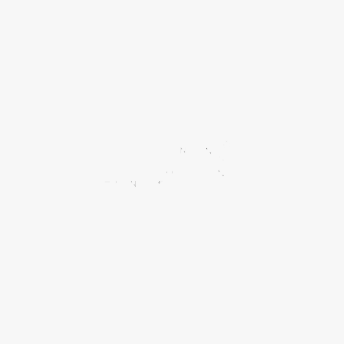 CN1CC[C@@H](Oc2cccc3c2C(N)=NS(=O)(=O)N3)C1